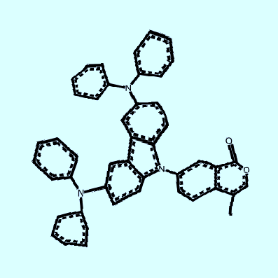 Cc1coc(=O)c2cc(-n3c4ccc(N(c5ccccc5)c5ccccc5)cc4c4cc(N(c5ccccc5)c5ccccc5)ccc43)ccc12